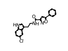 O=C(NCCc1c[nH]c2ccc(Cl)cc12)c1cc(-c2ccccc2)on1